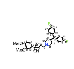 COc1ccc(C(C#N)(CCCN2CCC(=C(c3ccc(F)cc3)c3ccc(F)cc3)CC2)C(C)C)cc1OC